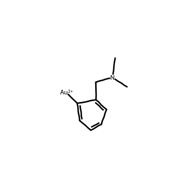 CN(C)Cc1cccc[c]1[Au+2]